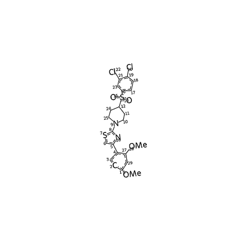 COc1ccc(-c2csc(N3CCC(S(=O)(=O)c4ccc(Cl)c(Cl)c4)CC3)n2)c(OC)c1